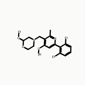 CCOC1CN(Cc2c(OC(C)C)cc(-c3c(CC)cccc3CC)nc2C)CCO1